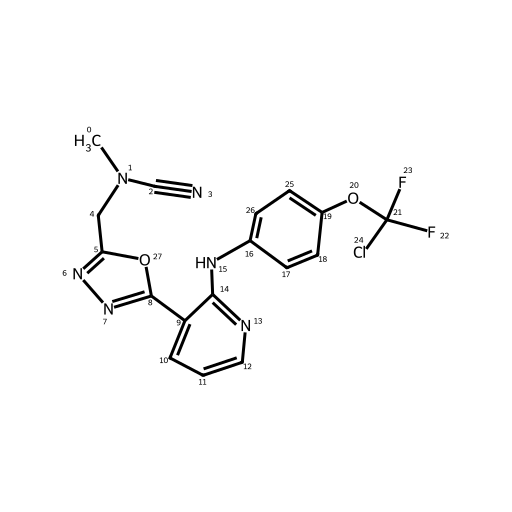 CN(C#N)Cc1nnc(-c2cccnc2Nc2ccc(OC(F)(F)Cl)cc2)o1